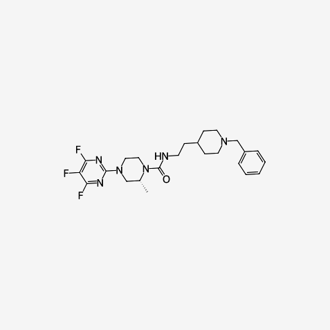 C[C@@H]1CN(c2nc(F)c(F)c(F)n2)CCN1C(=O)NCCC1CCN(Cc2ccccc2)CC1